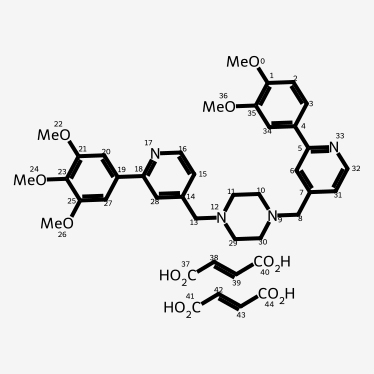 COc1ccc(-c2cc(CN3CCN(Cc4ccnc(-c5cc(OC)c(OC)c(OC)c5)c4)CC3)ccn2)cc1OC.O=C(O)C=CC(=O)O.O=C(O)C=CC(=O)O